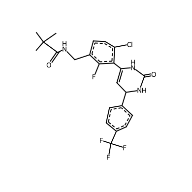 CC(C)(C)C(=O)NCc1ccc(Cl)c(C2=CC(c3ccc(C(F)(F)F)cc3)NC(=O)N2)c1F